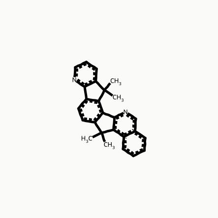 CC1(C)c2cccnc2-c2ccc3c(c21)-c1ncc2ccccc2c1C3(C)C